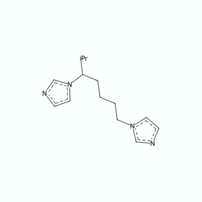 CC(C)C(CCCCn1ccnc1)n1ccnc1